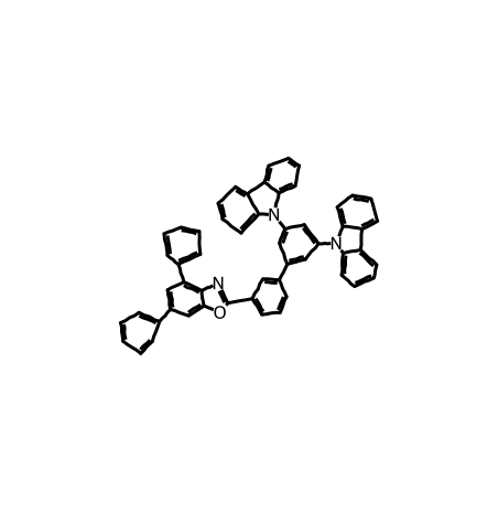 c1ccc(-c2cc(-c3ccccc3)c3nc(-c4cccc(-c5cc(-n6c7ccccc7c7ccccc76)cc(-n6c7ccccc7c7ccccc76)c5)c4)oc3c2)cc1